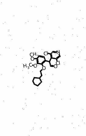 COc1ccc(C(C=O)c2c(Cl)cncc2Cl)c(OCCC2CCCCC2)c1OC